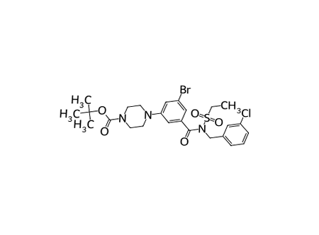 CCS(=O)(=O)N(Cc1cccc(Cl)c1)C(=O)c1cc(Br)cc(N2CCN(C(=O)OC(C)(C)C)CC2)c1